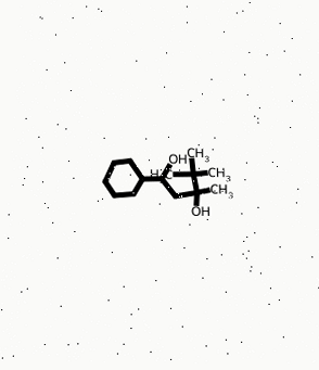 CC(C)(C)C(C)(O)CC(O)C1CCCCC1